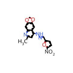 Cc1cc(N/N=C/c2ccc([N+](=O)[O-])o2)c2cc3c(cc2n1)OCO3